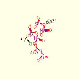 CCl.O=[PH]([O-])O[PH](=O)[O-].O=[PH]([O-])O[PH](=O)[O-].O=[PH]([O-])O[PH](=O)[O-].[Ce+3].[Ce+3]